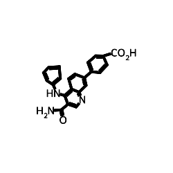 NC(=O)c1cnc2cc(-c3ccc(C(=O)O)cc3)ccc2c1Nc1ccccc1